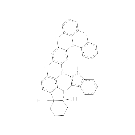 CC12CCCCC1(C)N1c3c2ccc2c3B(c3cc4c(cc3O2)Oc2cccc3c2B4c2ccccc2O3)c2[nH]c3ccccc3c21